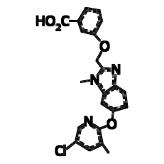 Cc1cc(Cl)cnc1Oc1ccc2nc(COc3cccc(C(=O)O)c3)n(C)c2c1